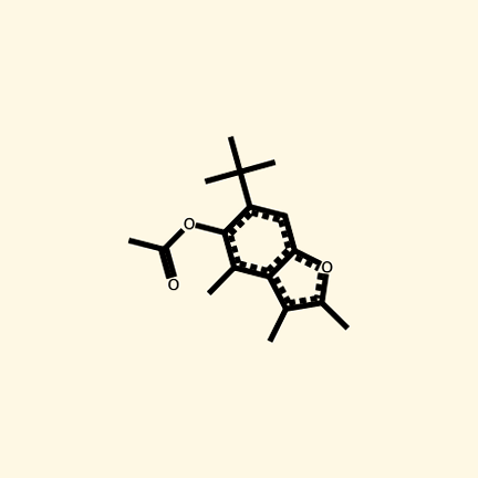 CC(=O)Oc1c(C(C)(C)C)cc2oc(C)c(C)c2c1C